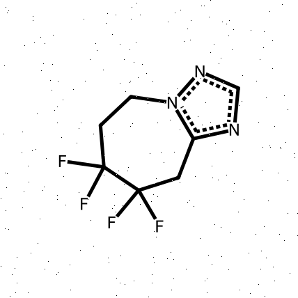 FC1(F)CCn2ncnc2CC1(F)F